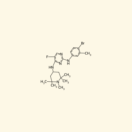 Cc1cc(Nc2ncc(F)c(NC3CC(C)(C)N(C)C(C)(C)C3)n2)ccc1Br